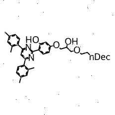 CCCCCCCCCCCCOCC(O)COc1ccc(-c2nc(-c3ccc(C)cc3C)cc(-c3ccc(C)cc3C)n2)c(O)c1